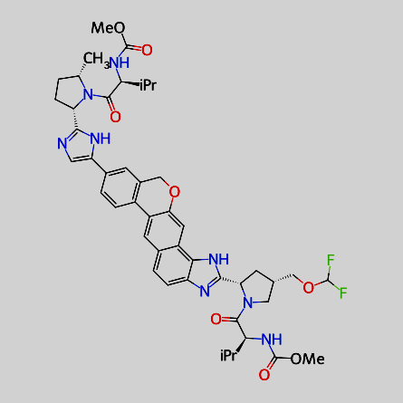 COC(=O)N[C@H](C(=O)N1C[C@@H](COC(F)F)C[C@H]1c1nc2ccc3cc4c(cc3c2[nH]1)OCc1cc(-c2cnc([C@@H]3CC[C@H](C)N3C(=O)[C@@H](NC(=O)OC)C(C)C)[nH]2)ccc1-4)C(C)C